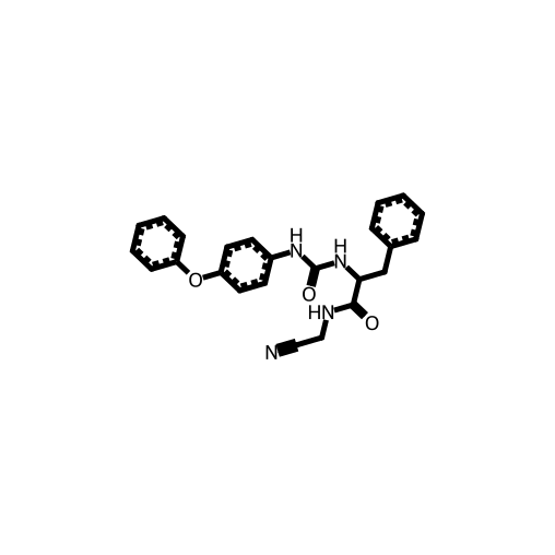 N#CCNC(=O)C(Cc1ccccc1)NC(=O)Nc1ccc(Oc2ccccc2)cc1